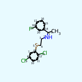 CC(NCCSc1cc(Cl)ccc1Cl)c1cccc(F)c1